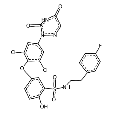 O=c1cnn(-c2cc(Cl)c(Oc3ccc(O)c(S(=O)(=O)NCCc4ccc(F)cc4)c3)c(Cl)c2)c(=O)[nH]1